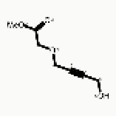 COC(=O)COCC#CCO